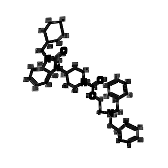 O=C(OCCN(Cc1ccccc1)Cc1ccccc1)N1CCC(n2c(=O)n(CC3CCCCC3)c3ccccc32)CC1